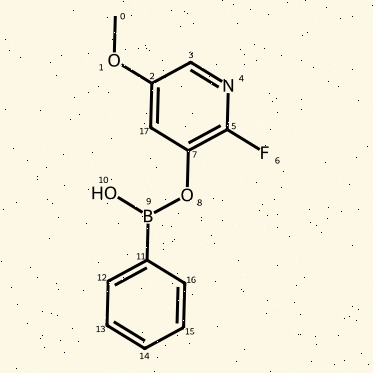 COc1cnc(F)c(OB(O)c2ccccc2)c1